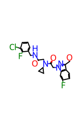 O=Cc1nn(CC(=O)N(CC(=O)NCc2cccc(Cl)c2F)C2CC2)c2cc(F)ccc12